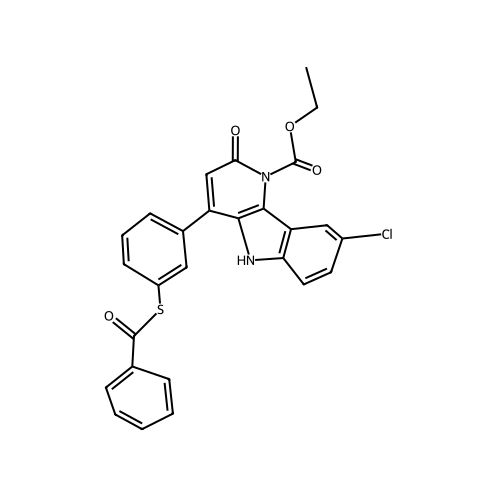 CCOC(=O)n1c(=O)cc(-c2cccc(SC(=O)c3ccccc3)c2)c2[nH]c3ccc(Cl)cc3c21